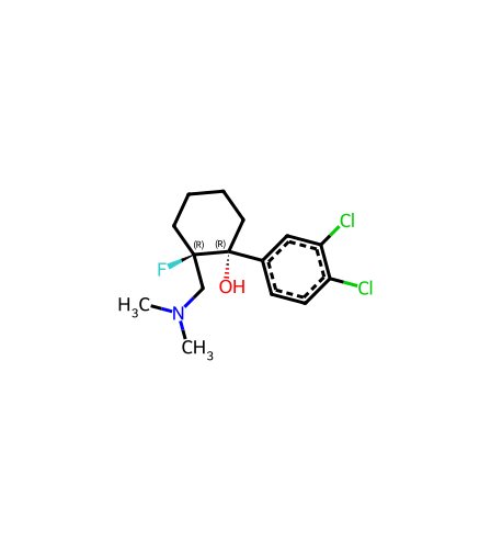 CN(C)C[C@]1(F)CCCC[C@@]1(O)c1ccc(Cl)c(Cl)c1